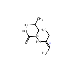 C/C=C(/CC)N[C@H](CC(C)C)C(=O)O